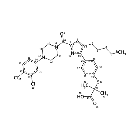 CCCCCn1cc(C(=O)N2CCN(c3ccc(Cl)c(Cl)c3)CC2)nc1-c1ccc(SC(C)(C)C(=O)O)cc1